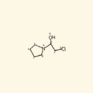 OC(CCl)N1CCCC1